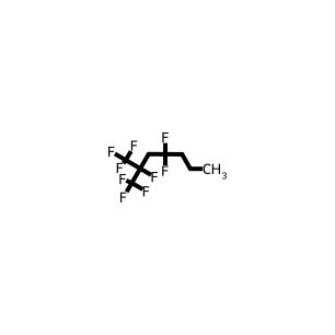 CCCC(F)(F)CC(F)(C(F)(F)F)C(F)(F)F